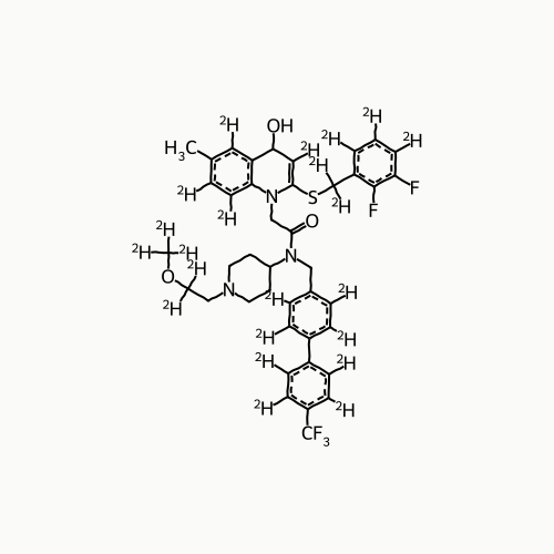 [2H]C1=C(SC([2H])([2H])c2c([2H])c([2H])c([2H])c(F)c2F)N(CC(=O)N(Cc2c([2H])c([2H])c(-c3c([2H])c([2H])c(C(F)(F)F)c([2H])c3[2H])c([2H])c2[2H])C2CCN(CC([2H])([2H])OC([2H])([2H])[2H])CC2)c2c([2H])c([2H])c(C)c([2H])c2C1O